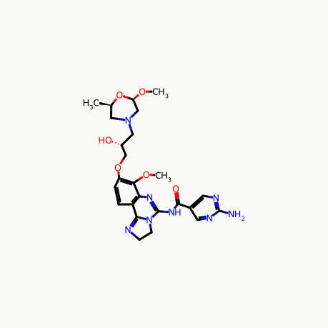 COc1c(OC[C@H](O)CN2C[C@H](OC)O[C@H](C)C2)ccc2c1N=C(NC(=O)c1cnc(N)nc1)N1CCN=C21